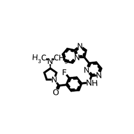 CN(C)[C@@H]1CCN(C(=O)c2ccc(Nc3nccc(-c4cnc5ccccn45)n3)cc2F)C1